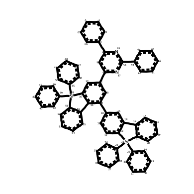 c1ccc(-c2cc(-c3cc(-c4ccc5c(c4)-c4ccccc4[Si]5(c4ccccc4)c4ccccc4)c4c(c3)[Si](c3ccccc3)(c3ccccc3)c3ccccc3-4)nc(-c3ccccc3)n2)cc1